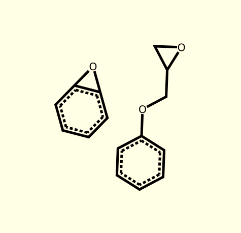 c1ccc(OCC2CO2)cc1.c1ccc2c(c1)O2